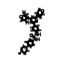 CN1CCN(c2ccc(NC(=O)Nc3ccc(-c4nc(N5CC6CC5CO6)nc(N5C[C@H]6C[C@@H]5CO6)n4)cc3)cc2)CC1